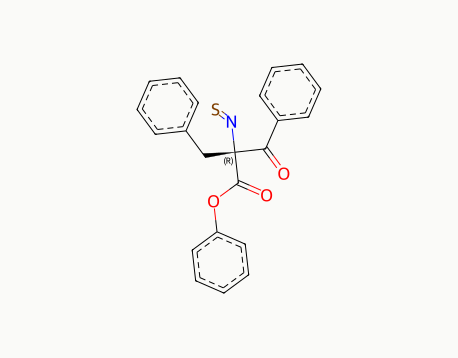 O=C(Oc1ccccc1)[C@](Cc1ccccc1)(N=S)C(=O)c1ccccc1